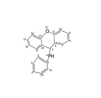 c1ccc(PC2c3ccccc3Oc3ccccc32)cc1